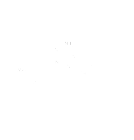 COc1ccc(Cn2cnc(N)c3nc(C(C)COCc4ccsc4)nc2-3)cc1OC1CCCC1